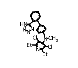 CCc1nc(CC)c(Cl)c(N(C)c2ccc(-c3ccccc3-c3nnn[nH]3)cc2)c1Cl